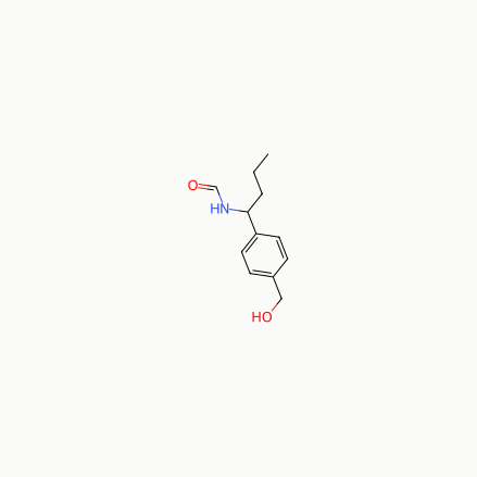 CCCC(NC=O)c1ccc(CO)cc1